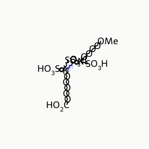 COCCOCCOCCOCCOCCN(CCCS(=O)(=O)O)c1ccc2c(c1)OC(C)C=C2/C=C/C=C1/N(CCOCCOCCOCCOCCOCCC(=O)O)c2ccc(S(=O)(=O)O)cc2C1(C)CCCS(=O)(=O)O